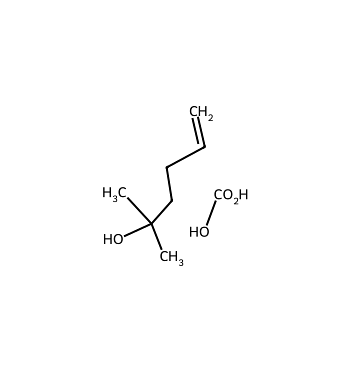 C=CCCC(C)(C)O.O=C(O)O